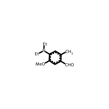 CCN(CC)c1cc(C)c(C=O)cc1OC